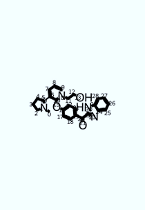 CN1CCC[C@H]1C1=CC=CN(CCO)C1Oc1ccc(C(=O)c2nc3ccccc3[nH]2)cc1